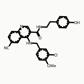 COc1ccc(CNc2c(C(=O)NCCc3ccc(O)cc3)cnc3ccc(C#N)cc23)cc1Cl